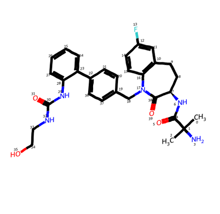 CC(C)(N)C(=O)N[C@@H]1CCc2cc(F)ccc2N(Cc2ccc(-c3ccccc3NC(=O)NCCO)cc2)C1=O